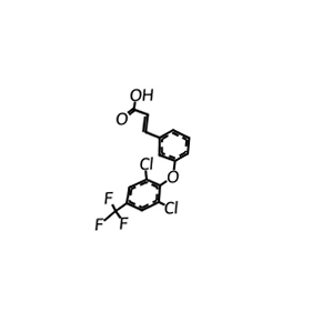 O=C(O)C=Cc1cccc(Oc2c(Cl)cc(C(F)(F)F)cc2Cl)c1